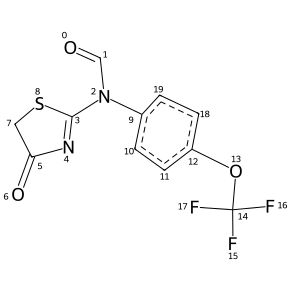 O=CN(C1=NC(=O)CS1)c1ccc(OC(F)(F)F)cc1